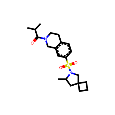 CC(C)C(=O)N1CCc2ccc(S(=O)(=O)N3CC4(CCC4)CC3C)cc2C1